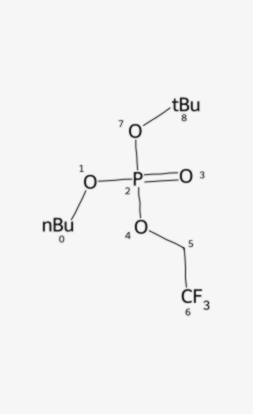 CCCCOP(=O)(OCC(F)(F)F)OC(C)(C)C